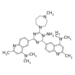 Cc1cc(N(C)C)c2cc(C3=NC(c4ccc5nc(C)cc(N(C)C)c5c4)N(N)C(N4CCCN(C)CC4)=N3)ccc2n1